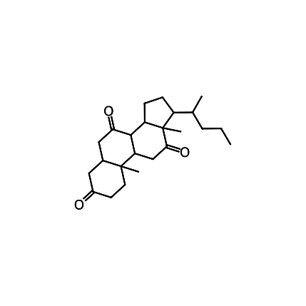 CCCC(C)C1CCC2C3C(=O)CC4CC(=O)CCC4(C)C3CC(=O)C12C